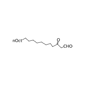 CCCCCCCCCCCCCCCCC(=O)C[C]=O